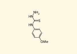 COc1ccc(NC(=S)NN)cc1